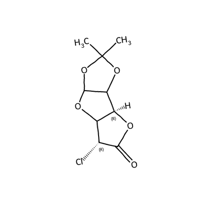 CC1(C)OC2OC3[C@H](OC(=O)[C@@H]3Cl)C2O1